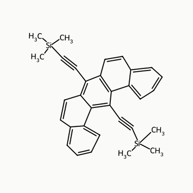 C[Si](C)(C)C#Cc1c2ccc3ccccc3c2c(C#C[Si](C)(C)C)c2c1ccc1ccccc12